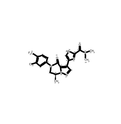 C[C@H]1CN(c2ccc(C(F)(F)F)c(Cl)c2)C(=O)c2c(-c3c[nH]c(C(=O)N(C)C)n3)cnn21